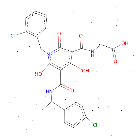 CC(NC(=O)c1c(O)c(C(=O)NCC(=O)O)c(=O)n(Cc2ccccc2Cl)c1O)c1ccc(Cl)cc1